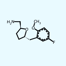 COc1ccc(F)cc1C[C@@H]1CC[C@@H](CN)O1